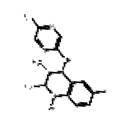 CC(=O)N1c2ccc(F)cc2[C@H](Nc2cnc(C)cn2)[C@@H](C)[C@@H]1C